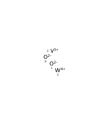 [O-2].[O-2].[V+5].[W+4]